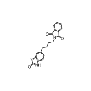 O=C1c2ccccc2C(=O)N1CCCCc1ccc2[nH]c(=O)sc2c1